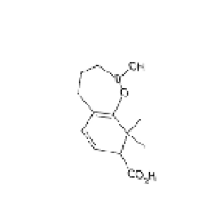 CC1(C)C2=C(C=CC1C(=O)O)CCCB(O)O2